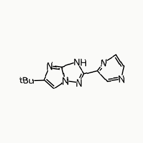 CC(C)(C)c1cn2nc(-c3cnccn3)[nH]c2n1